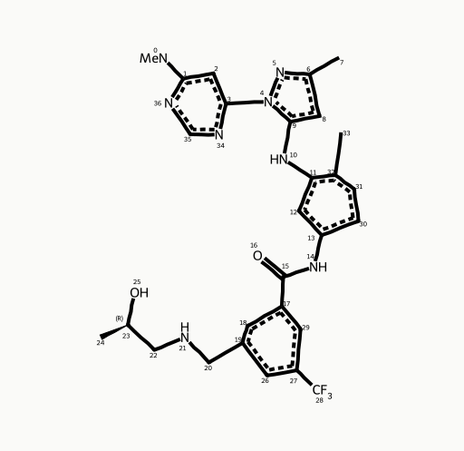 CNc1cc(-n2nc(C)cc2Nc2cc(NC(=O)c3cc(CNC[C@@H](C)O)cc(C(F)(F)F)c3)ccc2C)ncn1